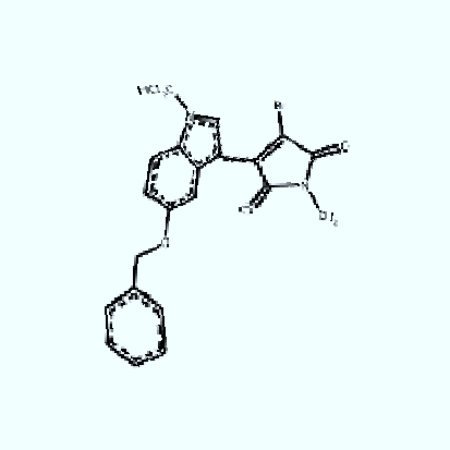 CN1C(=O)C(Br)=C(c2cn(C(=O)O)c3ccc(OCc4ccccc4)cc23)C1=O